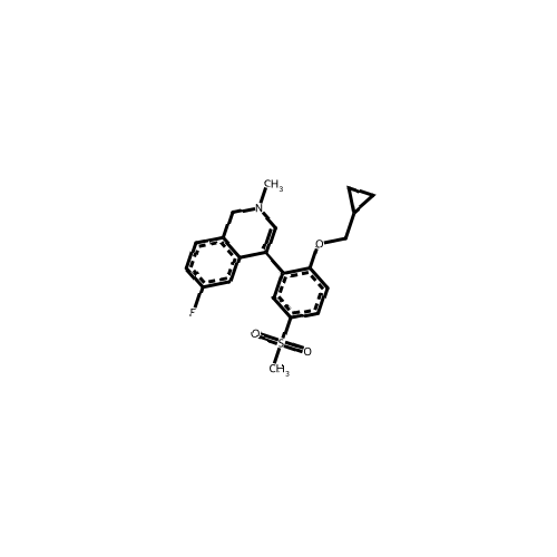 CN1C=C(c2cc(S(C)(=O)=O)ccc2OCC2CC2)c2cc(F)ccc2C1